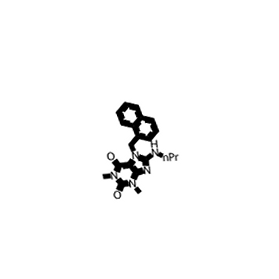 CCCNc1nc2c(c(=O)n(C)c(=O)n2C)n1Cc1cccc2ccccc12